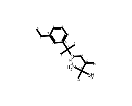 CCc1cccc(C(C)(C)OCC(C)C(C)(N)S)c1